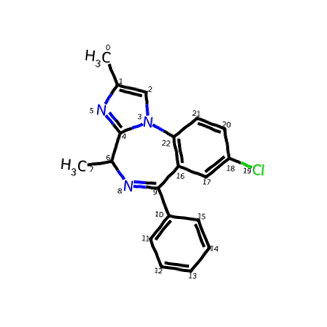 Cc1cn2c(n1)C(C)N=C(c1ccccc1)c1cc(Cl)ccc1-2